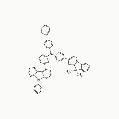 CC1(C)c2ccccc2-c2ccc(-c3ccc(N(c4ccc(-c5ccccc5)cc4)c4cccc(-c5cccc6c5c5ccccc5n6-c5ccccc5)c4)cc3)cc21